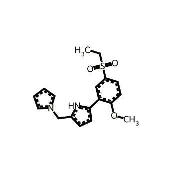 CCS(=O)(=O)c1ccc(OC)c(-c2ccc(Cn3cccc3)[nH]2)c1